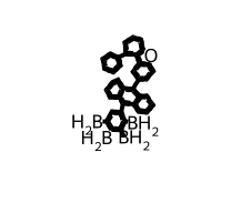 Bc1cc(-c2c3ccccc3c(-c3ccc4oc5cccc(-c6ccccc6)c5c4c3)c3ccccc23)c(B)c(B)c1B